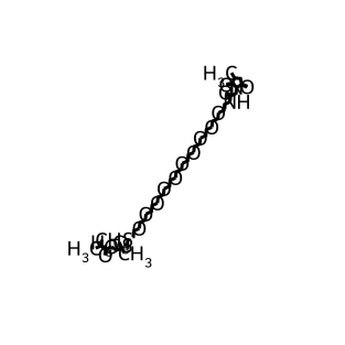 CC(C)C(=O)OCC(C)(C)SSCCOCCOCCOCCOCCOCCOCCOCCOCCOCCOCCNC(=O)CN1C(=O)CC(C)C1=O